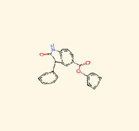 O=C(Oc1ccccc1)c1ccc2c(c1)C(c1ccccc1)C(=O)N2